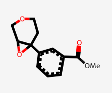 COC(=O)c1cccc(C23CCOCC2O3)c1